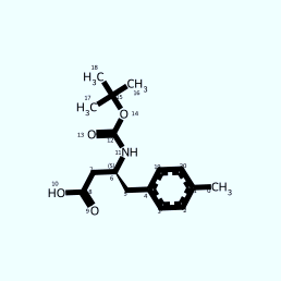 Cc1ccc(C[C@@H](CC(=O)O)NC(=O)OC(C)(C)C)cc1